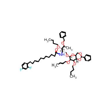 CCCCOC1C(OCCCC)[C@H]2OC(c3ccccc3)OCC2O[C@@H]1OC[C@H](NC(=O)CCCCCCCCCCc1ccc(F)cc1F)[C@H](OCCCC)[C@@H](C)OCc1ccccc1